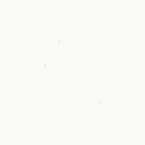 C#Cc1[c]c(CC)c(CC)cc1